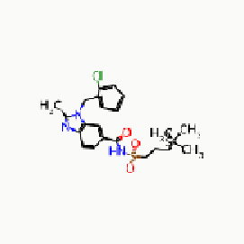 Cc1nc2ccc(C(=O)NS(=O)(=O)CCC[Si](C)(C)C)cc2n1Cc1ccccc1Cl